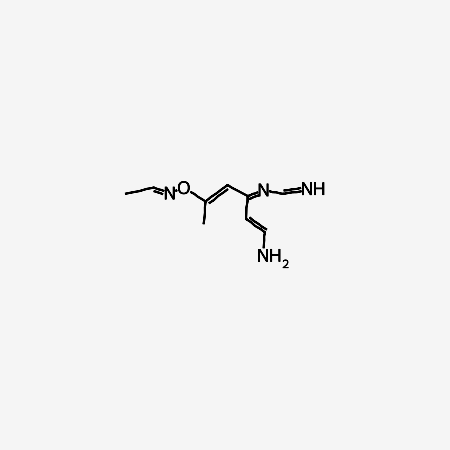 C/C=N/O/C(C)=C/C(/C=C/N)=N/C=N